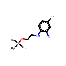 CC(C)(C)[Si](C)(C)OCCNc1ccc([N+](=O)[O-])cc1N